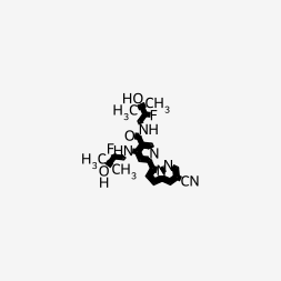 CC(C)(O)C(F)CNC(=O)c1cnc(-c2ccc3cc(C#N)cnn23)cc1NCC(F)C(C)(C)O